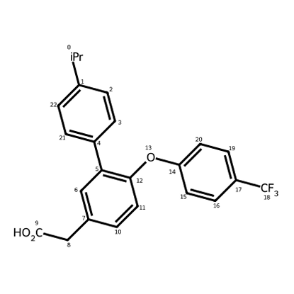 CC(C)c1ccc(-c2cc(CC(=O)O)ccc2Oc2ccc(C(F)(F)F)cc2)cc1